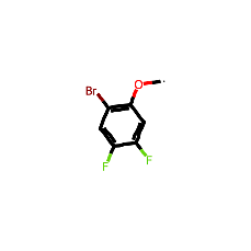 [CH2]Oc1cc(F)c(F)cc1Br